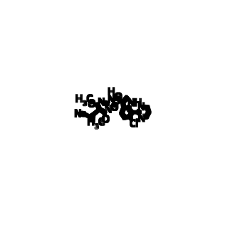 COc1nc(NS(=O)(=O)c2c[nH]c3c(-c4ncccn4)c(Cl)ccc23)nc(OC)c1C1CC1C#N